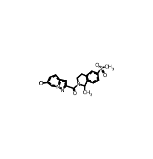 CC1c2ccc(S(C)(=O)=O)cc2CCN1C(=O)c1cc2ccc(Cl)cn2n1